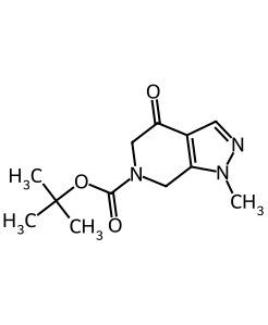 Cn1ncc2c1CN(C(=O)OC(C)(C)C)CC2=O